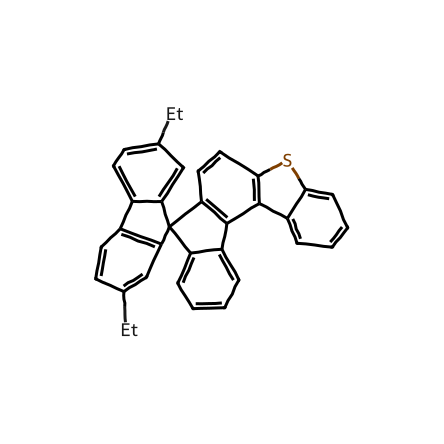 CCc1ccc2c(c1)C1(c3cc(CC)ccc3-2)c2ccccc2-c2c1ccc1sc3ccccc3c21